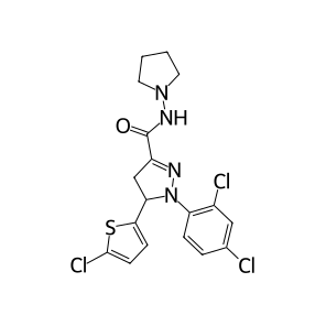 O=C(NN1CCCC1)C1=NN(c2ccc(Cl)cc2Cl)C(c2ccc(Cl)s2)C1